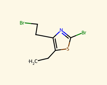 [CH2]Cc1sc(Br)nc1CCBr